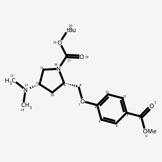 COC(=O)c1ccc(OC[C@@H]2C[C@H](N(C)C)CN2C(=O)OC(C)(C)C)cc1